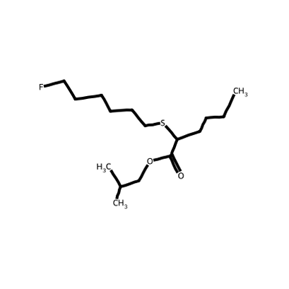 CCCCC(SCCCCCCF)C(=O)OCC(C)C